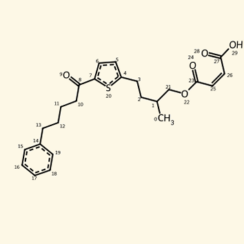 CC(CCc1ccc(C(=O)CCCCc2ccccc2)s1)COC(=O)/C=C\C(=O)O